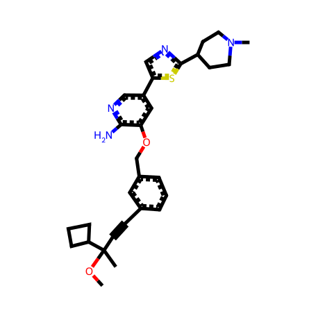 COC(C)(C#Cc1cccc(COc2cc(-c3cnc(C4CCN(C)CC4)s3)cnc2N)c1)C1CCC1